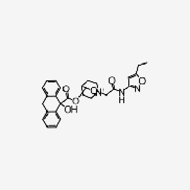 CCc1cc(NC(=O)C[N+]23CCC(CC2)C(OC(=O)C2(O)c4ccccc4Cc4ccccc42)C3)no1